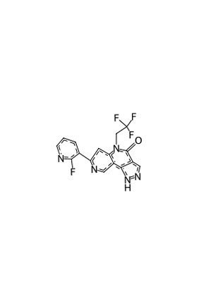 O=c1c2cn[nH]c2c2cnc(-c3cccnc3F)cc2n1CC(F)(F)F